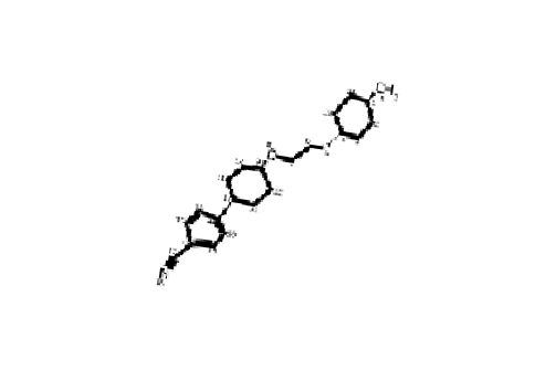 C[C@H]1CC[C@H](CCCO[C@H]2CC[C@H](c3ccc(C#N)cc3)CC2)CC1